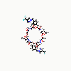 CC(C)C[C@H]1C(=O)O[C@H](Cc2ccc(Cn3cc(C(F)F)cn3)cc2)C(=O)N(C)[C@@H](CC(C)C)C(=O)O[C@H](C)C(=O)N(C)[C@@H](CC(C)C)C(=O)O[C@H](Cc2ccc(Cn3cc(C(F)F)cn3)cc2)C(=O)N(C)[C@@H](CC(C)C)C(=O)O[C@H](C)C(=O)N1C